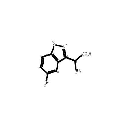 NC(C(=O)O)c1noc2ccc(Br)cc12